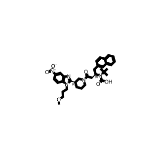 COCCCn1c([C@@H]2CCCN(C(=O)C[C@@H](Cc3ccc4ccccc4c3)N(C(=O)O)C(C)(C)C)C2)nc2cc([N+](=O)[O-])ccc21